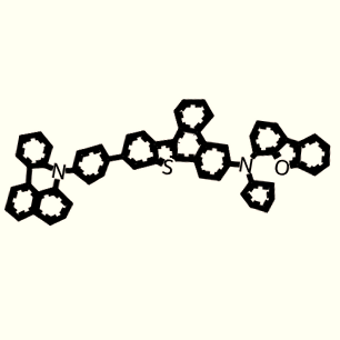 c1ccc(-c2ccccc2N(c2ccccc2)c2ccc(-c3ccc4c(c3)sc3c5ccc(N(c6ccccc6)c6cccc7c6oc6ccccc67)cc5c5ccccc5c43)cc2)cc1